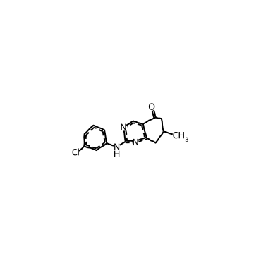 CC1CC(=O)c2cnc(Nc3cccc(Cl)c3)nc2C1